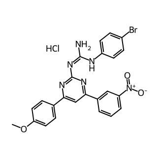 COc1ccc(-c2cc(-c3cccc([N+](=O)[O-])c3)nc(N=C(N)Nc3ccc(Br)cc3)n2)cc1.Cl